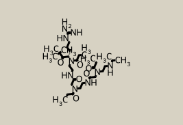 CCC(=O)N(CCNC(=O)CN(CCNC(C)C)C(=O)CC)CC(=O)NCCN(C(=O)CC)[C@@H](CCCNC(=N)N)C(=O)C(C)(C)C